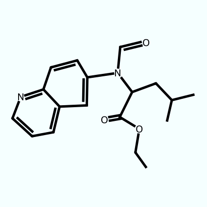 CCOC(=O)C(CC(C)C)N(C=O)c1ccc2ncccc2c1